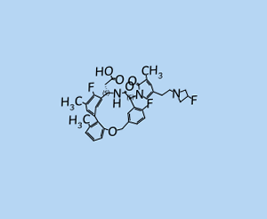 Cc1cc2cc(c1F)[C@H](CC(=O)O)NC(=O)[C@@H](n1cc(CCN3CC(F)C3)cc(C)c1=O)c1cc(ccc1F)COc1cccc(C)c1-2